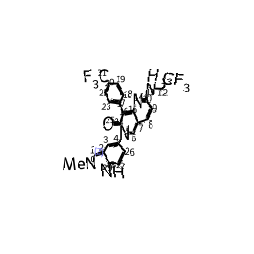 CN/C=C1/C=C(n2cc3ccc(NCC(F)(F)F)nc3c(-c3ccc(C(F)(F)F)cc3)c2=O)C=CC1=N